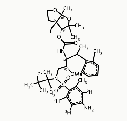 [2H]c1c([2H])c(S(=O)(=O)N(C[C@@H](OC)[C@@H](NC(=O)O[C@@H]2[C@@H]3CCO[C@]3(C)OC2(C)C)C(C)c2ccccc2C)C(C)(C)C(C)(C)C(C)C)c(C)c([2H])c1N